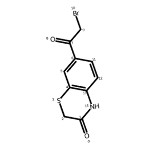 O=C1CSc2cc(C(=O)CBr)ccc2N1